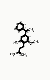 C=C(C)CCc1c(O)cc(C(=C)c2ccncc2)cc1OC